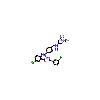 CCN1CC(NCc2ccc(-c3nc4ccc(Br)cc4c(=O)n3/N=C/c3cccc(F)c3)cc2)CN1CC